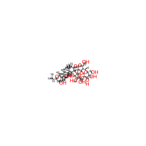 C=C[C@H]1[C@H](OC2O[C@H](CO)[C@@H](O)[C@H](O)[C@H]2O)[C@@H](OC2O[C@@H](CO)[C@H](O)[C@H]2O)C(O[C@H]2CC[C@]3(C)[C@H]4CC[C@@H]5C6[C@@]7(CC7[C@@]5(CO)[C@]4(C)CC[C@H]3C2(C)C)O[C@@H](C=C(C)C)C[C@]6(C)O)O[C@@H]1CO